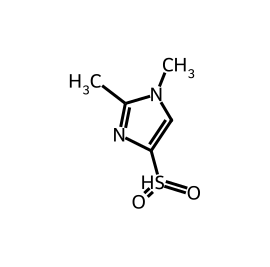 Cc1nc([SH](=O)=O)cn1C